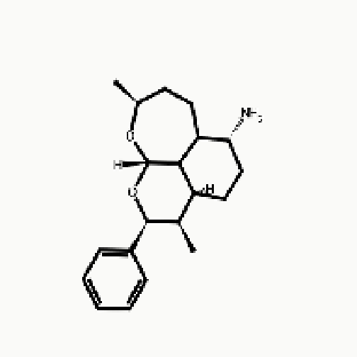 C[C@H]1[C@@H](c2ccccc2)O[C@@H]2O[C@@H](C)CCC3C2[C@H]1CC[C@H]3N